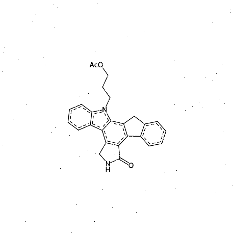 CC(=O)OCCCn1c2ccccc2c2c3c(c4c(c21)Cc1ccccc1-4)C(=O)NC3